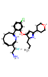 CCCC1N=C(C2CCOCC2)C=C1Oc1cc(Cl)ccc1/C1=N/C=C([C@@H](F)CN)\C=C/CCC1